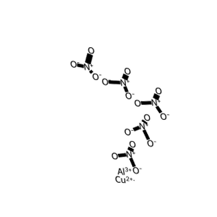 O=[N+]([O-])[O-].O=[N+]([O-])[O-].O=[N+]([O-])[O-].O=[N+]([O-])[O-].O=[N+]([O-])[O-].[Al+3].[Cu+2]